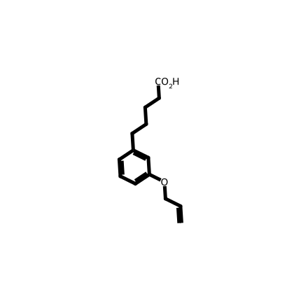 C=CCOc1cccc(CCCCC(=O)O)c1